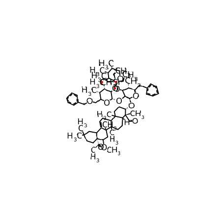 CC[Si](CC)(CC)OC1[C@H](OC2[C@H](O[C@H]3CCC4(C)C5CC=C6C7CC(C)(C)CC[C@]7(C(C)=O)C(OC)C[C@@]6(C)C5(C)CC[C@H]4[C@@]3(C)C=O)OC(Cc3ccccc3)[C@@H](C)[C@@H]2O[C@@H]2OC[C@@H](C)[C@H](C)C2C)OC(COCc2ccccc2)[C@H](C)[C@@H]1C